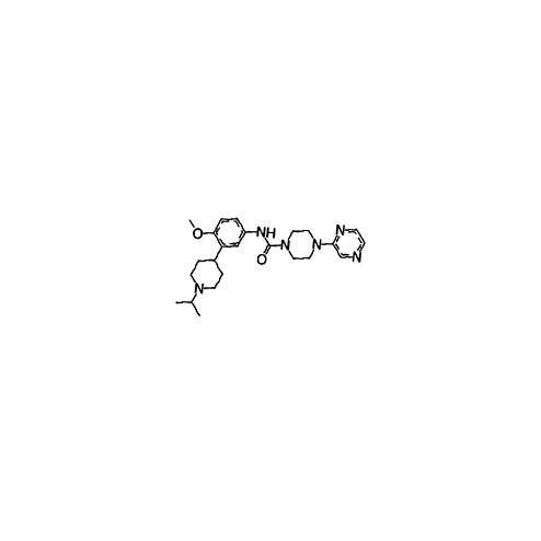 COc1ccc(NC(=O)N2CCN(c3cnccn3)CC2)cc1C1CCN(C(C)C)CC1